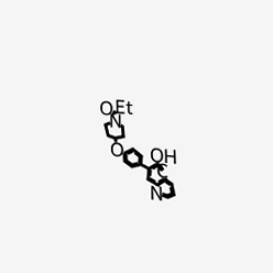 CCC(=O)N1CCC(Oc2ccc(-c3cc4ncccc4cc3O)cc2)CC1